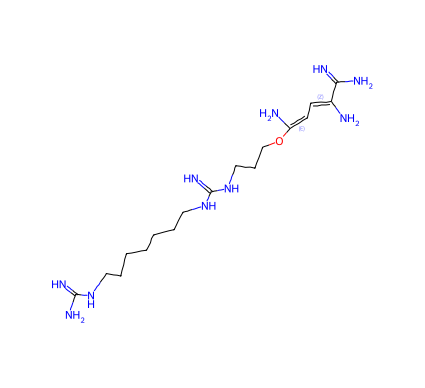 N=C(N)NCCCCCCCNC(=N)NCCCO/C(N)=C/C=C(\N)C(=N)N